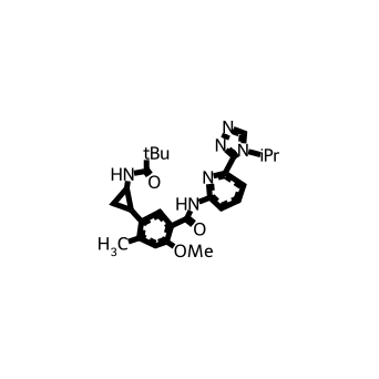 COc1cc(C)c(C2CC2NC(=O)C(C)(C)C)cc1C(=O)Nc1cccc(-c2nncn2C(C)C)n1